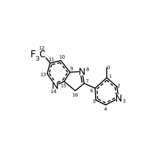 Cc1cnccc1C1=Nc2cc(C(F)(F)F)cnc2C1